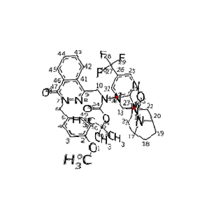 COc1ccc(Cn2nc(CN(CCC(=O)N3C4CCC3CN(c3ncc(C(F)(F)F)cn3)C4)C(=O)OC(C)(C)C)c3ccccc3c2=O)cc1